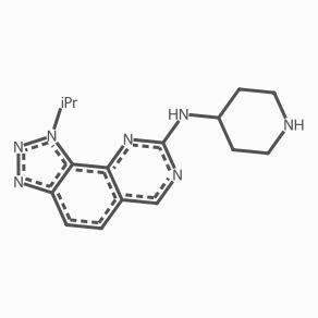 CC(C)n1nnc2ccc3cnc(NC4CCNCC4)nc3c21